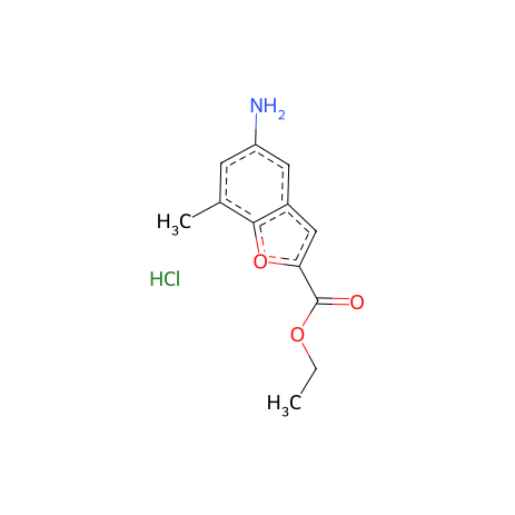 CCOC(=O)c1cc2cc(N)cc(C)c2o1.Cl